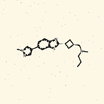 CCCN(C)C[C@H]1C[C@H](c2nc3ccc(-c4cnn(C)c4)cc3s2)C1